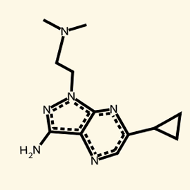 CN(C)CCn1nc(N)c2ncc(C3CC3)nc21